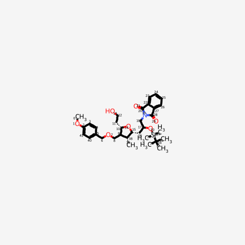 COc1ccc(COCC2[C@H](CCO)O[C@H](CC(CN3C(=O)c4ccccc4C3=O)O[Si](C)(C)C(C)(C)C)[C@@H]2C)cc1